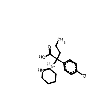 C1CCNCC1.CCCC(C)(C(=O)O)c1ccc(Cl)cc1